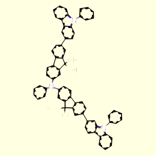 CC1(C)c2cc(-c3ccc4c(c3)c3ccccc3n4-c3ccccc3)ccc2-c2ccc(N(c3ccccc3)c3ccc4c(c3)C(C)(C)c3cc(-c5ccc6c7ccccc7n(-c7ccccc7)c6c5)ccc3-4)cc21